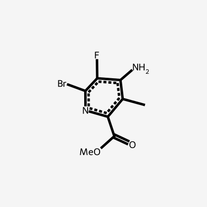 COC(=O)c1nc(Br)c(F)c(N)c1C